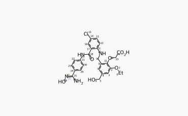 CCOc1cc(CO)cc(CNc2ccc(Cl)cc2C(=O)Nc2ccc(/C(N)=N/O)cc2)c1OCC(=O)O